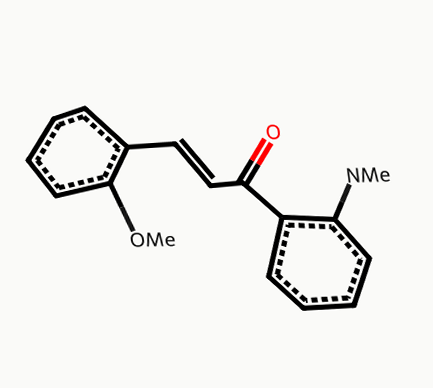 CNc1ccccc1C(=O)C=Cc1ccccc1OC